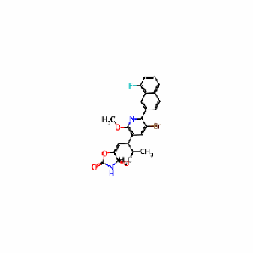 COc1nc(-c2ccc3cccc(F)c3c2)c(Br)cc1C(/C=C1/OC(=O)NC1=O)C(C)C